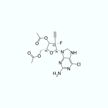 C#C[C@]1(F)C(OC(C)=O)[C@@H](COC(C)=O)O[C@H]1N1CNc2c(Cl)nc(N)nc21